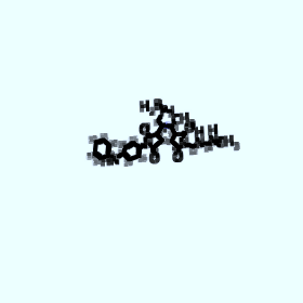 BP(I)C/C(=C(\C)C1CC(=O)N(CNCNC)C1=O)C1CC(=O)N(c2ccc(Nc3ccccc3)cc2)C1=O